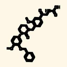 COc1cc(C(=O)CNC(=O)O)ccc1CN1CCCN(c2ccc(OC)c(OCc3ccccc3)c2)C1=O